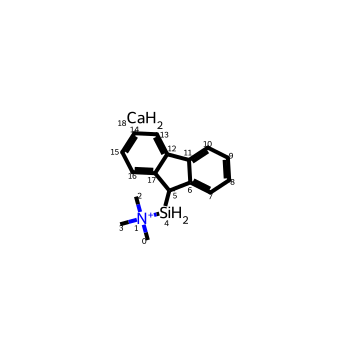 C[N+](C)(C)[SiH2][C]1c2ccccc2-c2ccccc21.[CaH2]